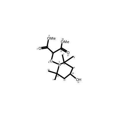 COC(=O)C(ON1C(C)(C)CC(O)CC1(C)C)C(=O)OC